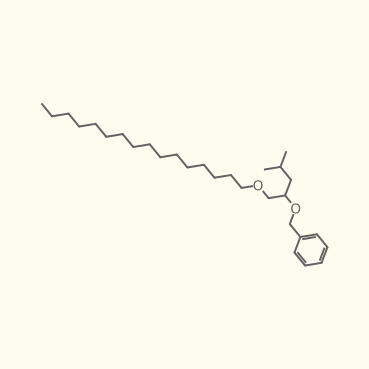 CCCCCCCCCCCCCCCCOCC(CC(C)C)OCc1ccccc1